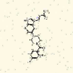 CC(=O)/C=C/c1c[nH]c2ncc(N3CCN(C(=O)c4ccc(F)cc4F)CC3)cc12